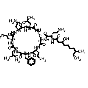 CCC(C)CCCCC(O)CC(=O)N[C@@H](CCN)C(=O)N[C@H]1CCNC(=O)[C@H](CC(C)C)NC(=O)[C@H](CCN)NC(=O)[C@H](CCN)NC(=O)[C@H](CC(C)C)NC(=O)[C@@H](Cc2ccccc2)NC(=O)[C@H](CCN)NC1=O